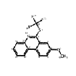 COc1ccc2c(c1)c(SC(F)(F)F)nc1ccccc12